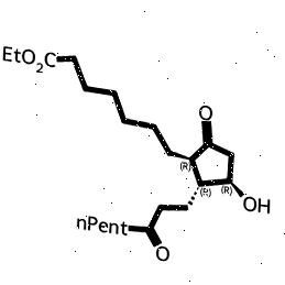 CCCCCC(=O)CC[C@H]1[C@H](O)CC(=O)[C@@H]1CCCCCCC(=O)OCC